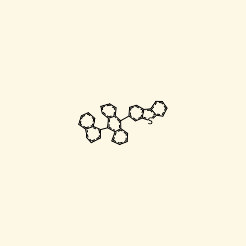 c1ccc2c(-c3c4ccccc4c(-c4ccc5c(c4)sc4ccccc45)c4ccccc34)cccc2c1